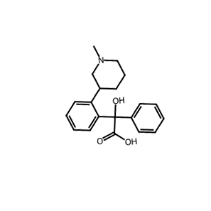 CN1CCCC(c2ccccc2C(O)(C(=O)O)c2ccccc2)C1